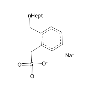 CCCCCCCCc1ccccc1CS(=O)(=O)[O-].[Na+]